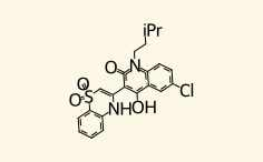 CC(C)CCn1c(=O)c(C2=CS(=O)(=O)c3ccccc3N2)c(O)c2cc(Cl)ccc21